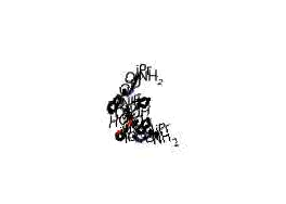 CC(C)[C@H](N)C(=O)OC/C=C\C(=O)[C@@H]1Cc2ccccc2[C@H]1NC(=O)[C@H](OCc1ccccc1F)[C@H](O)[C@@H](O)[C@@H](OCc1ccccc1F)C(=O)N[C@@H]1c2ccccc2C[C@H]1C(=O)/C=C\COC(=O)[C@@H](N)C(C)C